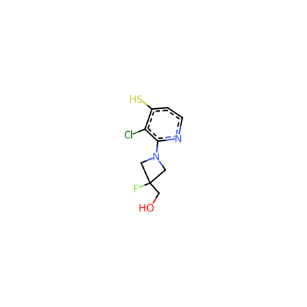 OCC1(F)CN(c2nccc(S)c2Cl)C1